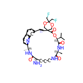 CC(C)[C@@H]1OC(=O)C2(/C=C/c3ccc4ccc(nc4c3)[C@@H](C)NC(=O)[C@@H](N)CCCNC(=O)[C@H](C)NC1=O)COC(CF)(CF)OC2